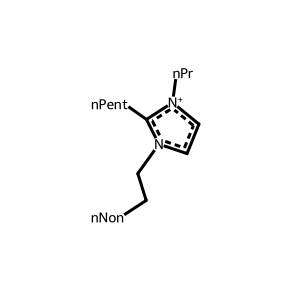 CCCCCCCCCCCn1cc[n+](CCC)c1CCCCC